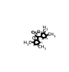 Cc1cc(C)c2oc([N+](=O)[O-])c(-c3ccc(C)c(C)c3)c2c1